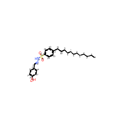 CCCCCCCCCCCCc1ccc(S(=O)(=O)NN=Cc2ccc(O)cc2)cc1